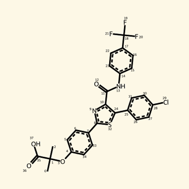 CC(C)(Oc1ccc(-c2nc(C(=O)Nc3ccc(C(F)(F)F)cc3)c(-c3ccc(Cl)cc3)s2)cc1)C(=O)O